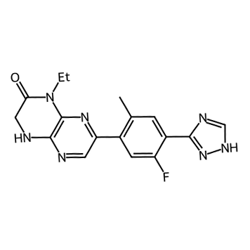 CCN1C(=O)CNc2ncc(-c3cc(F)c(-c4nc[nH]n4)cc3C)nc21